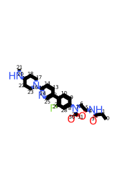 CCC(=O)NC1CN(c2ccc(-c3ccc(N4CCC(NC)CC4)nc3)c(F)c2)C(=O)O1